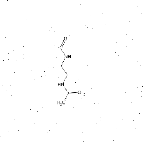 CC(C)NCCN[C]=O